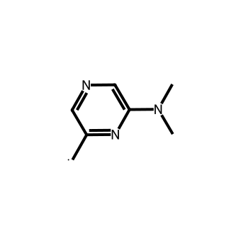 [CH2]c1cncc(N(C)C)n1